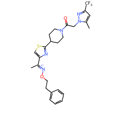 C/C(=N\OCCc1ccccc1)c1csc(C2CCN(C(=O)Cn3nc(C(F)(F)F)cc3C)CC2)n1